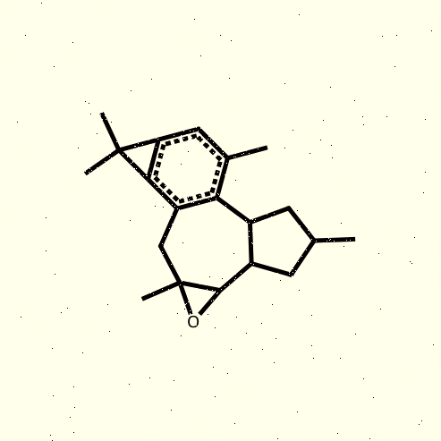 Cc1cc2c(c3c1C1CC(C)CC1C1OC1(C)C3)C2(C)C